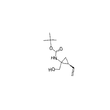 C=C[C@@H]1CC1(CO)NC(=O)OC(C)(C)C